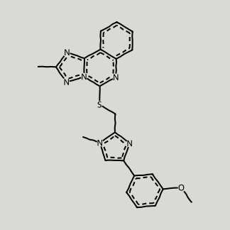 COc1cccc(-c2cn(C)c(CSc3nc4ccccc4c4nc(C)nn34)n2)c1